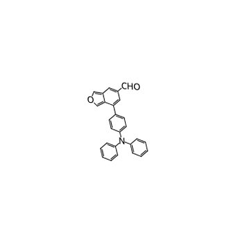 O=Cc1cc(-c2ccc(N(c3ccccc3)c3ccccc3)cc2)c2cocc2c1